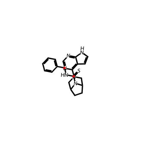 S=C(NCc1ccccc1)N1C2CCC1CN(c1ncnc3[nH]ccc13)C2